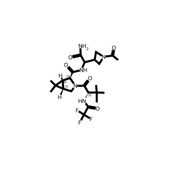 CC(=O)N1CC(C(NC(=O)[C@@H]2[C@@H]3[C@H](CN2C(=O)[C@@H](NC(=O)C(F)(F)F)C(C)(C)C)C3(C)C)C(N)=O)C1